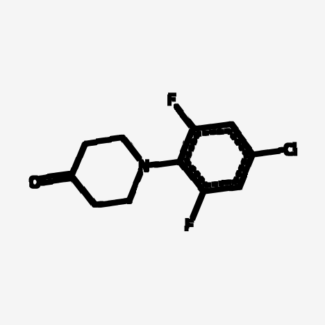 O=C1CCN(c2c(F)cc(Cl)cc2F)CC1